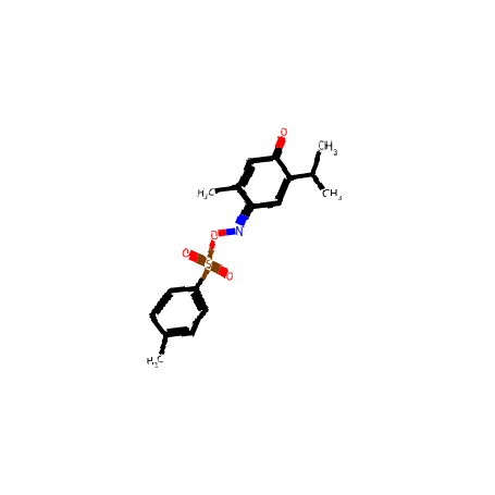 CC1=CC(=O)C(C(C)C)=C/C1=N/OS(=O)(=O)c1ccc(C)cc1